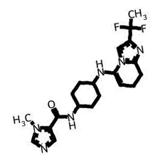 Cn1cncc1C(=O)NC1CCC(NC2=CCCc3nc(C(C)(F)F)cn32)CC1